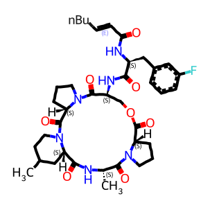 CCCC/C=C/C(=O)N[C@@H](Cc1cccc(F)c1)C(=O)N[C@H]1COC(=O)[C@@H]2CCCN2C(=O)[C@H](C)NC(=O)[C@@H]2CC(C)CCN2C(=O)[C@@H]2CCCN2C1=O